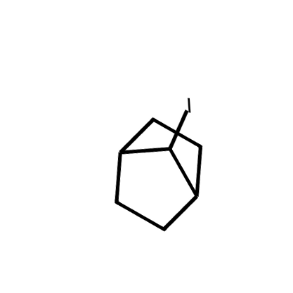 IC1C2CCC1CC2